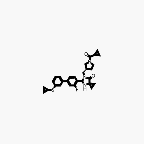 O=C(C1CC1)N1CC[C@@H](CN2C(=O)C3(CC3)NC2c2ccc(-c3cccc(SC4CC4)c3)cc2F)C1